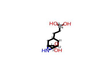 O=C(O)C12CC(CCB(O)O)CC=C1N2